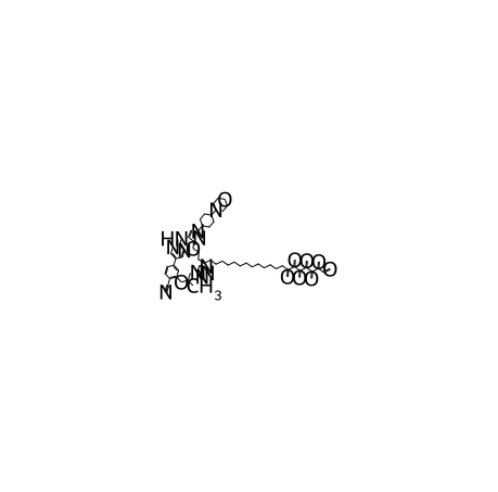 CC(Cn1cnnn1)Oc1cc(-c2cnc(Nc3cn(C4CCC(N5CCOCC5)CC4)nc3OCCCCCCCCCCCCCCCCC(=O)C(=O)C(=O)C(=O)C(=O)C(=O)C=O)nc2)ccc1C#N